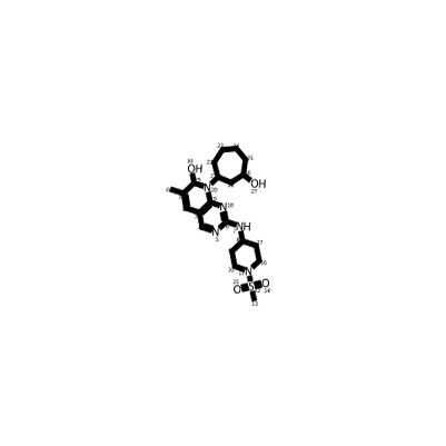 CC1=Cc2cnc(NC3CCN(S(C)(=O)=O)CC3)nc2N(C2CCCCC(O)C2)C1O